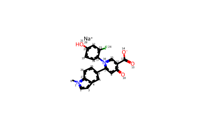 Cn1ccc2cc(-c3cc(=O)c(C(=O)[O-])cn3-c3ccc(O)cc3F)ccc21.[Na+]